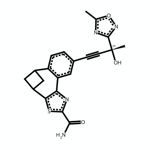 Cc1nc([C@](C)(O)C#Cc2ccc3c(c2)-c2nc(C(N)=O)sc2C2CC3C2)no1